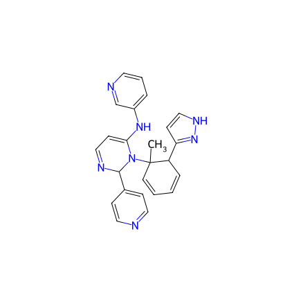 CC1(N2C(Nc3cccnc3)=CC=NC2c2ccncc2)C=CC=CC1c1cc[nH]n1